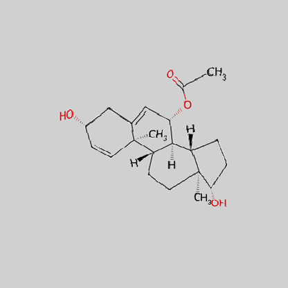 CC(=O)O[C@H]1C=C2C[C@@H](O)C=C[C@]2(C)[C@H]2CC[C@]3(C)[C@@H](O)CC[C@H]3[C@H]12